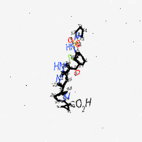 O=C(c1cccc(NS(=O)(=O)N2CCCC2)c1F)c1c[nH]c2ncc(-c3ccc(C4(C(=O)O)CC4)nc3)cc12